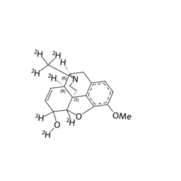 [2H]OC1([2H])C=C[C@@]2([2H])[C@H]3Cc4ccc(OC)c5c4[C@@]2(CCN3C([2H])([2H])[2H])C1([2H])O5